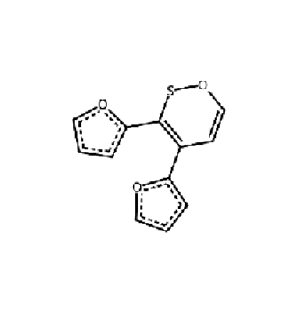 C1=CC(c2ccco2)=C(c2ccco2)SO1